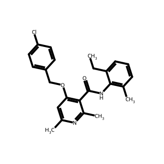 CCc1cccc(C)c1NC(=O)c1c(OCc2ccc(Cl)cc2)cc(C)nc1C